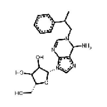 CC(CN1C=Nc2c(ncn2[C@@H]2O[C@H](CO)C(O)C2O)C1N)c1ccccc1